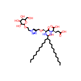 CCCCCCCCCCCCC(CCCCCCCCCCCC)C(O)N[C@@H](COCc1cn(CCO[C@@H]2OC(CO)[C@@H](O)C(O)C2O)nn1)C(=O)N[C@H](CCC(=O)O)C(=O)O